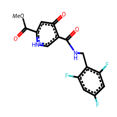 COC(=O)c1cc(=O)c(C(=O)NCc2c(F)cc(F)cc2F)c[nH]1